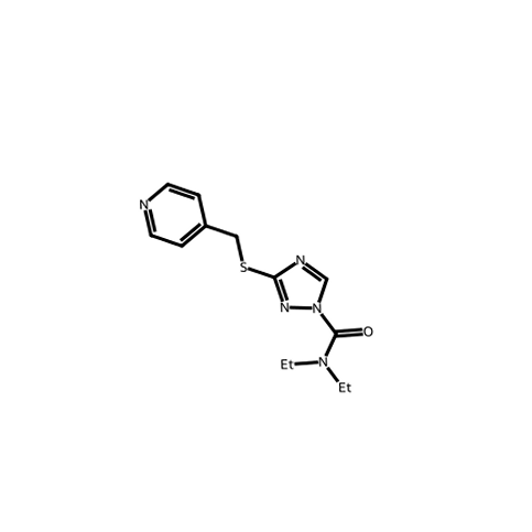 CCN(CC)C(=O)n1cnc(SCc2ccncc2)n1